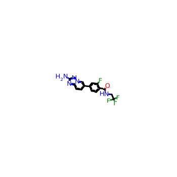 Nc1nc2ccc(-c3ccc(C(=O)NCC(F)(F)F)c(F)c3)cn2n1